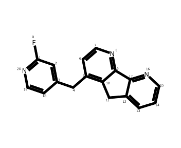 Fc1cc(Cc2ccnc3c2Cc2cccnc2-3)ccn1